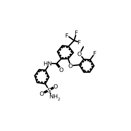 COc1c(F)cccc1Oc1cc(C(F)(F)F)ccc1C(=O)Nc1cccc(S(N)(=O)=O)c1